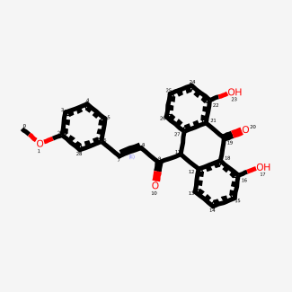 COc1cccc(/C=C/C(=O)C2c3cccc(O)c3C(=O)c3c(O)cccc32)c1